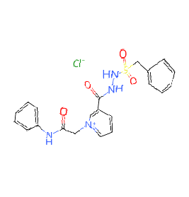 O=C(C[n+]1cccc(C(=O)NNS(=O)(=O)Cc2ccccc2)c1)Nc1ccccc1.[Cl-]